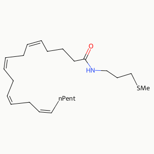 CCCCC/C=C\C/C=C\C/C=C\C/C=C\CCCC(=O)NCCCSC